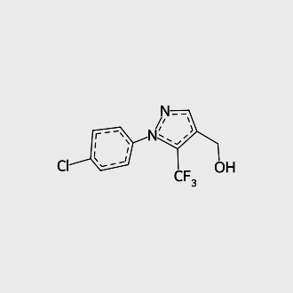 OCc1cnn(-c2ccc(Cl)cc2)c1C(F)(F)F